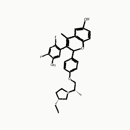 CC[C@@H]1CCN([C@@H](C)COc2ccc(C3Oc4ccc(O)cc4C(C)=C3c3cc(O)c(F)cc3F)cc2)C1